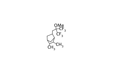 COC(CC1CC2CC1C(C)C2C)(C(F)(F)F)C(F)(F)F